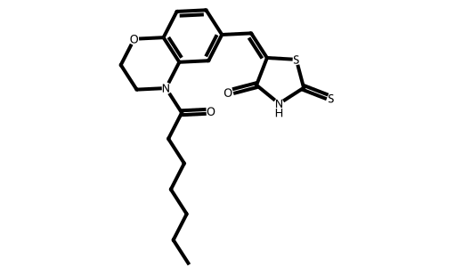 CCCCCCC(=O)N1CCOc2ccc(C=C3SC(=S)NC3=O)cc21